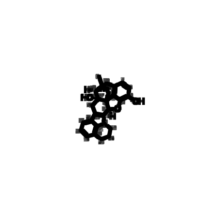 CN1CCC23c4c5ccc(O)c4O[C@H]2c2c(c4cccc6c4n2CCC6)C[C@@]3(O)[C@H]1C5